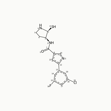 O=C(N[C@H]1CCN[C@H]1S)c1cnc(-c2cc(F)cc(Cl)c2)s1